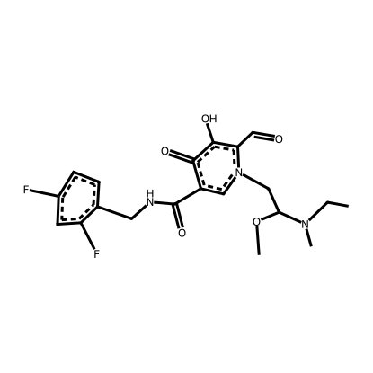 CCN(C)C(Cn1cc(C(=O)NCc2ccc(F)cc2F)c(=O)c(O)c1C=O)OC